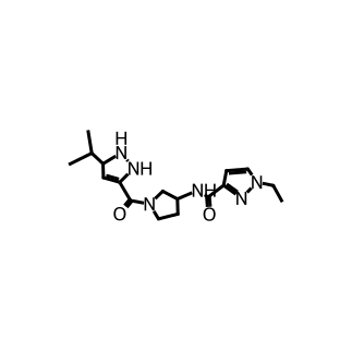 CCn1ccc(C(=O)NC2CCN(C(=O)C3=CC(C(C)C)NN3)C2)n1